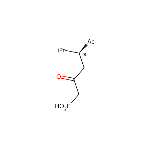 CC(=O)[C@@H](CC(=O)CC(=O)O)C(C)C